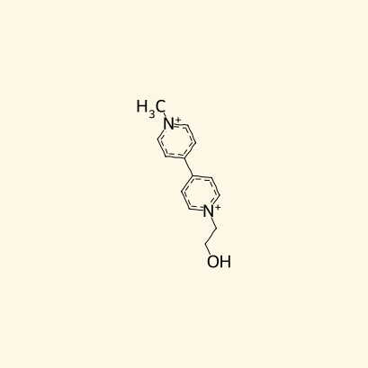 C[n+]1ccc(-c2cc[n+](CCO)cc2)cc1